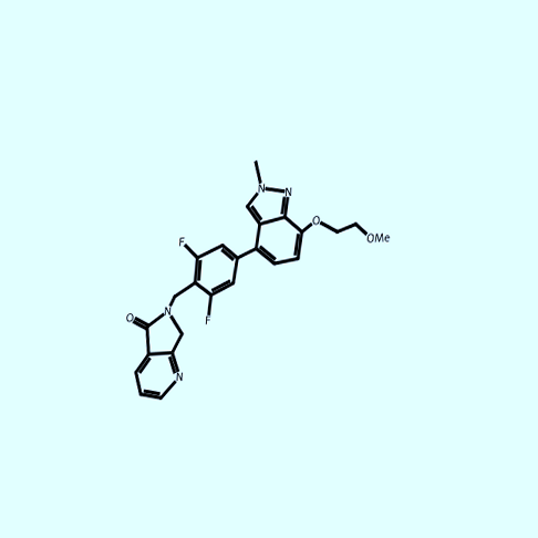 COCCOc1ccc(-c2cc(F)c(CN3Cc4ncccc4C3=O)c(F)c2)c2cn(C)nc12